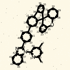 Cc1cc(C)nc(-n2c(-c3ccc(-c4ccc5c(c4)C4(c6ccccc6Oc6ccccc64)c4ccccc4-5)cc3)nc3ccccc32)c1